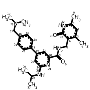 Cc1cc(C)c(CNC(=O)c2cc(-c3ccc(CN(C)C)cc3)cc(NC(C)C)n2)c(=O)[nH]1